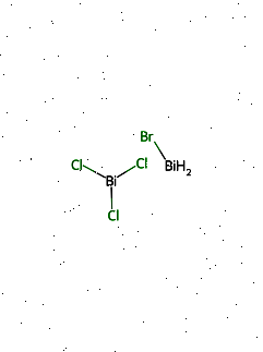 [Br][BiH2].[Cl][Bi]([Cl])[Cl]